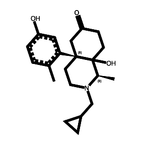 Cc1ccc(O)cc1[C@]12CCN(CC3CC3)[C@H](C)C1(O)CCC(=O)C2